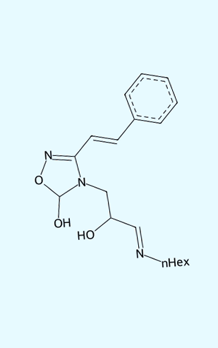 CCCCCCN=CC(O)CN1C(C=Cc2ccccc2)=NOC1O